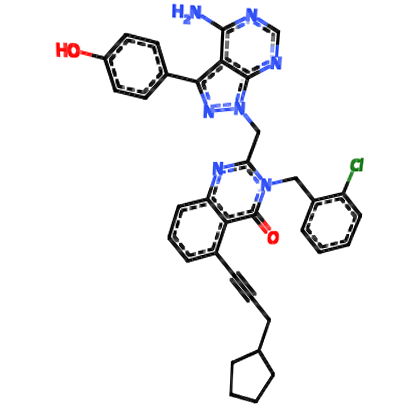 Nc1ncnc2c1c(-c1ccc(O)cc1)nn2Cc1nc2cccc(C#CCC3CCCC3)c2c(=O)n1Cc1ccccc1Cl